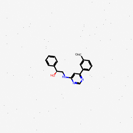 O=Cc1cccc(-c2cc(NC[C@@H](O)c3ccccc3)ncn2)c1